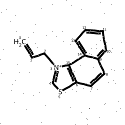 C=CC[n+]1csc2ccc3ccccc3c21